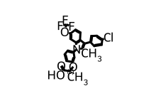 Cc1c(-c2ccc(Cl)cc2)c2ccc(OC(F)(F)F)cc2n1-c1cccc(O[C@@H](C)C(=O)O)c1